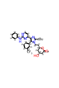 CC(C)(C)c1nc(-c2ccnc(Nc3ccccc3)n2)c(-c2cccc(C(F)(F)F)c2)n1CC[C@@H]1C[C@@H](O)CC(=O)O1